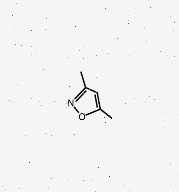 CC1=CC(C)=[N+]O1